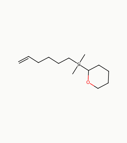 C=CCCCC[Si](C)(C)C1CCCCO1